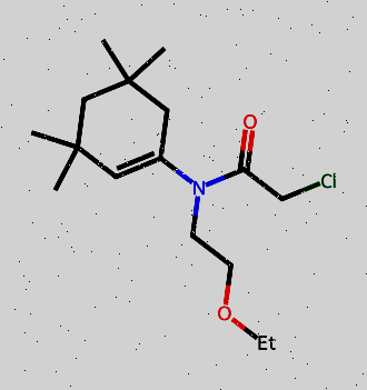 CCOCCN(C(=O)CCl)C1=CC(C)(C)CC(C)(C)C1